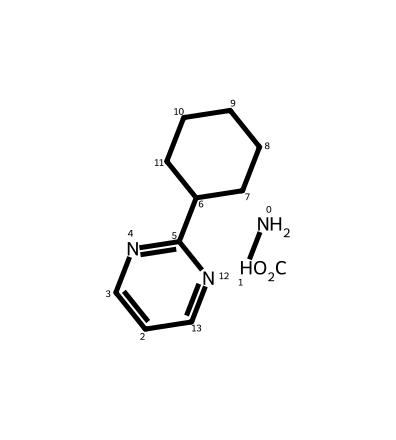 NC(=O)O.c1cnc(C2CCCCC2)nc1